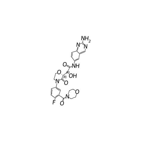 Nc1ncc2cc(NC(=O)[C@H](O)[C@H]3OCCN(c4ccc(F)c(C(=O)N5CCOCC5)c4)C3=O)ccc2n1